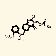 Cc1nc2ccc(CN(C)c3ccccc3C(=O)O)cc2c(=O)n1COC(=O)C(C)(C)C